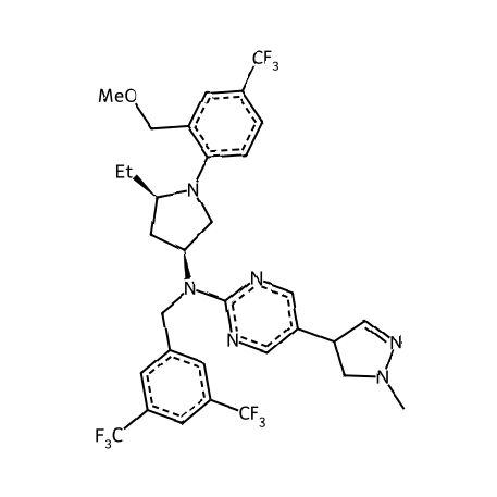 CC[C@@H]1C[C@H](N(Cc2cc(C(F)(F)F)cc(C(F)(F)F)c2)c2ncc(C3C=NN(C)C3)cn2)CN1c1ccc(C(F)(F)F)cc1COC